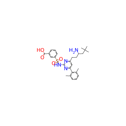 Cc1cccc(C)c1-c1cc(CCC(N)CC(C)(C)C)nc(NS(=O)(=O)c2cccc(C(=O)O)c2)n1